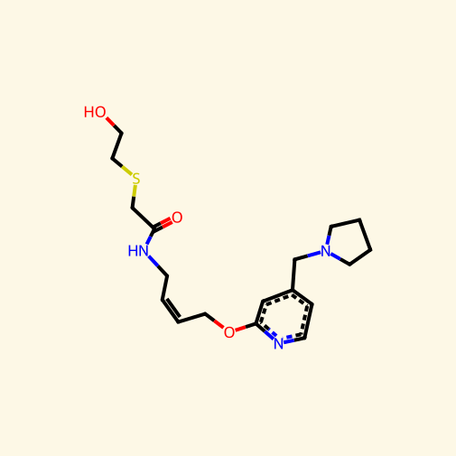 O=C(CSCCO)NC/C=C\COc1cc(CN2CCCC2)ccn1